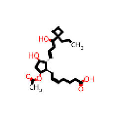 CCCC1(C(O)C/C=C/[C@@H]2[C@@H](C/C=C\CCCC(=O)O)[C@@H](OC(C)=O)C[C@H]2O)CCC1